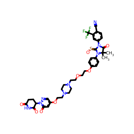 CC1(C)C(=O)N(c2ccc(C#N)c(C(F)(F)F)c2)C(=S=O)N1c1ccc(OCCOCCN2CCN(CCOc3cnn(C4CCC(=O)NC4=O)c(=O)c3)CC2)cc1